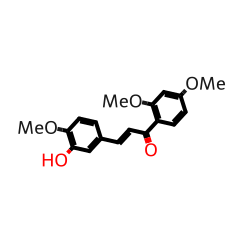 COc1ccc(C(=O)C=Cc2ccc(OC)c(O)c2)c(OC)c1